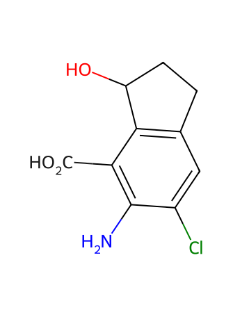 Nc1c(Cl)cc2c(c1C(=O)O)C(O)CC2